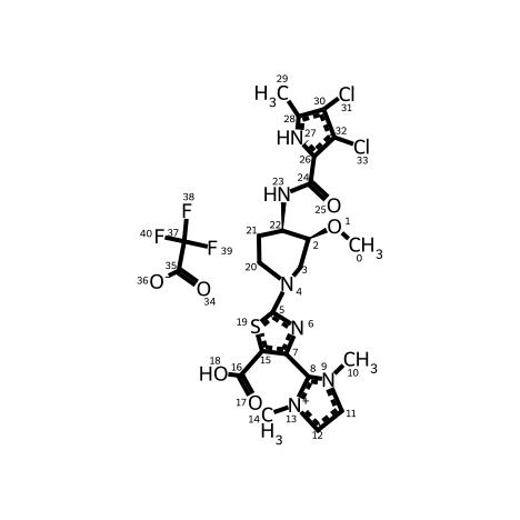 CO[C@H]1CN(c2nc(-c3n(C)cc[n+]3C)c(C(=O)O)s2)CC[C@H]1NC(=O)c1[nH]c(C)c(Cl)c1Cl.O=C([O-])C(F)(F)F